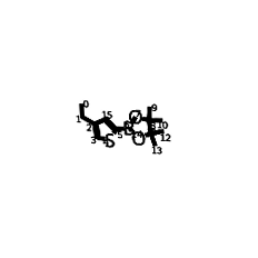 CCc1csc(B2OC(C)(C)C(C)(C)O2)c1